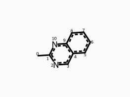 Cc1ncc2c[c]ccc2n1